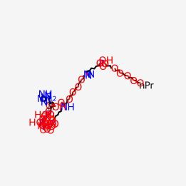 CCCOCCOCCOCCOCCOCCCOP(=O)(O)OCCCCc1cn(CCOCCOCCOCCOCCC(=O)NCCCCCCOP(=O)(O)OP(=O)(O)OP(=O)(O)OP(=O)(O)OP(=O)(O)OP(=O)(O)OC[C@H]2O[C@@H](n3cnc4c(N)ncnc43)CC2O)nn1